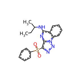 CCC(C)Nc1nc2c(S(=O)(=O)c3ccccc3)nnn2c2ccccc12